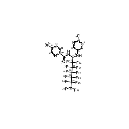 O=C(NC(Nc1cnc(Cl)nc1)C(F)(F)C(F)(F)C(F)(F)C(F)(F)C(F)(F)C(F)F)c1ccc(Br)cn1